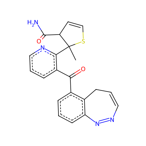 CC1(c2ncccc2C(=O)c2cccc3c2CC=CN=N3)SC=CC1C(N)=O